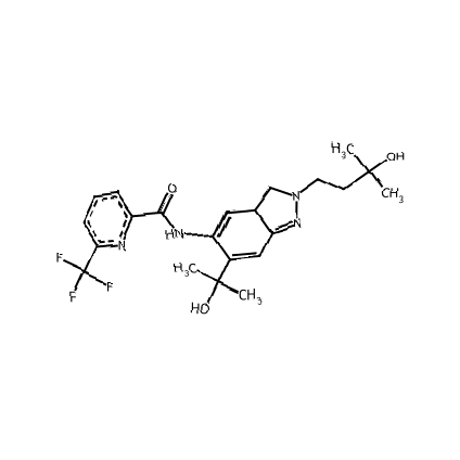 CC(C)(O)CCN1CC2C=C(NC(=O)c3cccc(C(F)(F)F)n3)C(C(C)(C)O)=CC2=N1